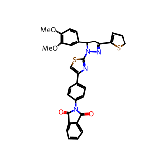 COc1ccc(C2CC(C3=CCCS3)=NN2c2nc(-c3ccc(N4C(=O)c5ccccc5C4=O)cc3)cs2)cc1OC